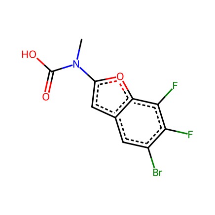 CN(C(=O)O)c1cc2cc(Br)c(F)c(F)c2o1